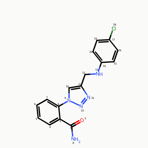 NC(=O)c1ccccc1-n1cc(CNc2ccc(Cl)cc2)nn1